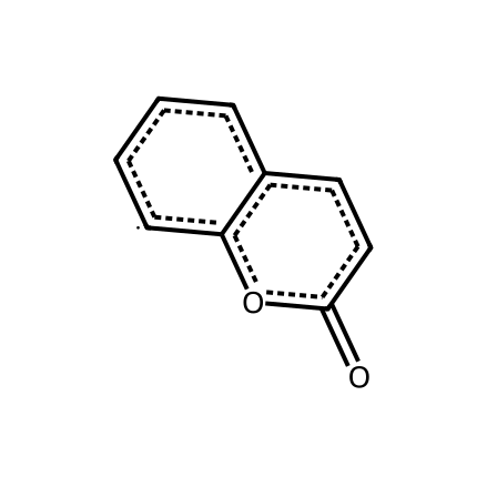 O=c1ccc2ccc[c]c2o1